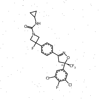 O=C(NC1CC1)N1CC(F)(c2ccc(C3=NO[C@@](c4cc(Cl)c(F)c(Cl)c4)(C(F)(F)F)C3)cc2)C1